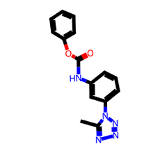 Cc1nnnn1-c1cccc(NC(=O)Oc2ccccc2)c1